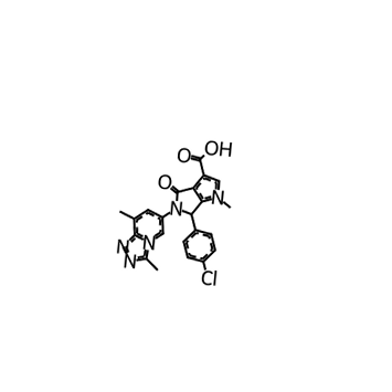 Cc1cc(N2C(=O)c3c(C(=O)O)cn(C)c3C2c2ccc(Cl)cc2)cn2c(C)nnc12